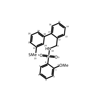 COc1ccccc1S(=O)(=O)NCc1ccccc1-c1cccc(SC)c1